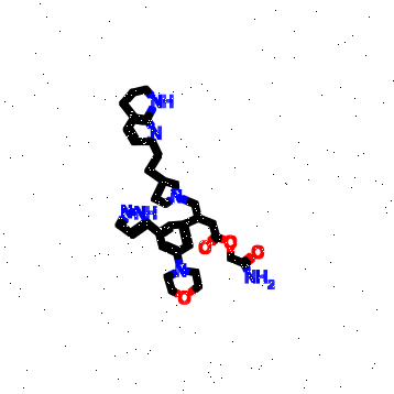 NC(=O)COC(=O)CC(CN1CCC(CCc2ccc3c(n2)NCCC3)C1)c1cc(-c2ccn[nH]2)cc(N2CCOCC2)c1